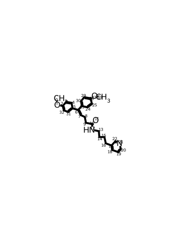 COc1ccc(C(=CCCC(=O)NCCCCc2cccnc2)c2ccc(OC)cc2)cc1